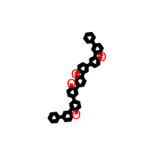 c1ccc(-c2ccc3oc4ccc(-c5ccc6oc7c(ccc8c9cc(-c%10ccc%11oc%12ccc(-c%13ccccc%13)cc%12c%11c%10)ccc9oc87)c6c5)cc4c3c2)cc1